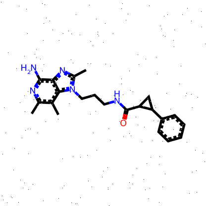 Cc1nc(N)c2nc(C)n(CCCNC(=O)C3CC3c3ccccc3)c2c1C